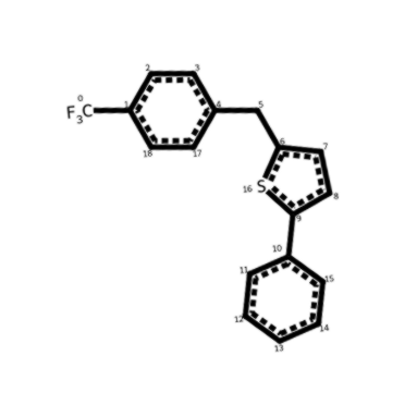 FC(F)(F)c1ccc(Cc2ccc(-c3ccccc3)s2)cc1